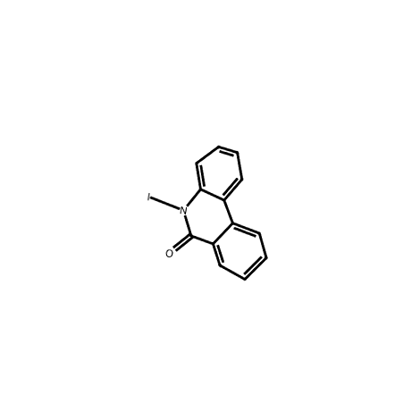 O=c1c2ccccc2c2ccccc2n1I